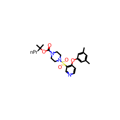 CCCC(C)(C)OC(=O)N1CCN(S(=O)(=O)c2cnccc2Oc2cc(C)cc(C)c2)CC1